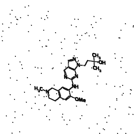 COc1cc2c(cc1Nc1ncc3cnn(CCC(C)(C)O)c3n1)CN(C)CC2